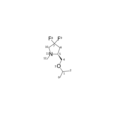 CC(C)OC[C@@H]1CC(F)(F)CN1C